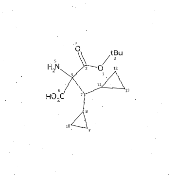 CC(C)(C)OC(=O)C(N)(C(=O)O)C(C1CC1)C1CC1